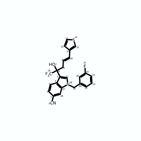 N#Cc1ccc2c(C(O)(C/C=C/c3ccsc3)C(F)(F)F)cn(Cc3cccc(F)c3)c2c1